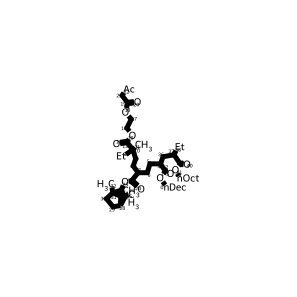 CCCCCCCCCCOC(=O)C(CCC(CCC(C)(CC)C(=O)OCCOC(=O)CC(C)=O)C(=O)OC1CC2CCC1(C)C2(C)C)CC(CC)C(=O)OCCCCCCCC